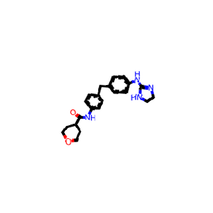 O=C(Nc1ccc(Cc2ccc(NC3=NCCN3)cc2)cc1)C1CCOCC1